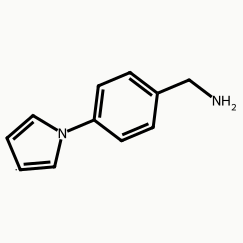 NCc1ccc(-n2c[c]cc2)cc1